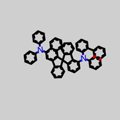 c1ccc(-c2ccccc2N(c2ccccc2)c2cccc3c2-c2ccccc2C32c3ccccc3-c3cc(N(c4ccccc4)c4ccccc4)c4ccccc4c32)cc1